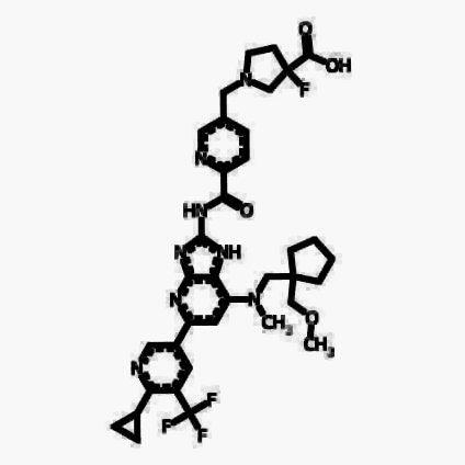 COCC1(CN(C)c2cc(-c3cnc(C4CC4)c(C(F)(F)F)c3)nc3nc(NC(=O)c4ccc(CN5CCC(F)(C(=O)O)C5)cn4)[nH]c23)CCCC1